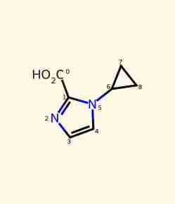 O=C(O)c1nccn1C1CC1